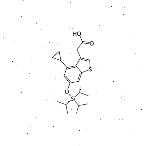 CC(C)[Si](Oc1cc(C2CC2)c2c(CC(=O)O)csc2c1)(C(C)C)C(C)C